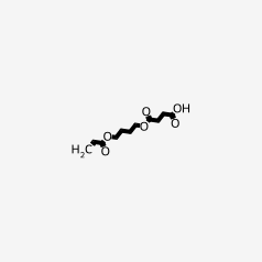 C=CC(=O)OCCCCOC(=O)CCC(=O)O